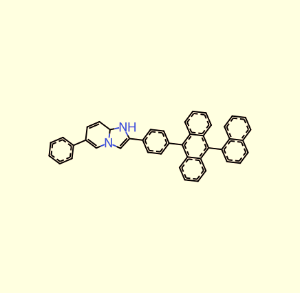 C1=CC2NC(c3ccc(-c4c5ccccc5c(-c5cccc6ccccc56)c5ccccc45)cc3)=CN2C=C1c1ccccc1